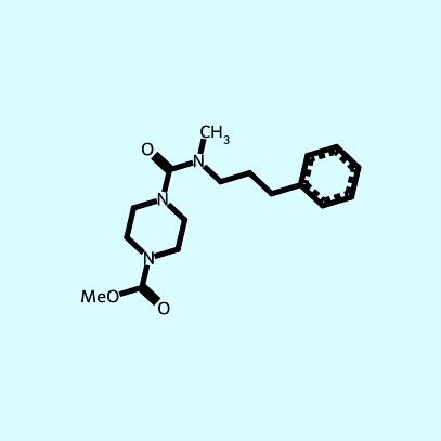 COC(=O)N1CCN(C(=O)N(C)CCCc2ccccc2)CC1